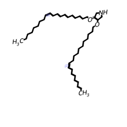 CCCCCCCC/C=C\CCCCCCCCCCOC1CNC[C@H]1OCCCCCCCCCC/C=C\CCCCCCCC